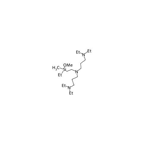 CCN(CC)CCCN(CCCN(CC)CC)CC[Si](C)(CC)OC